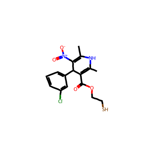 CC1=C(C(=O)OCCS)C(c2cccc(Cl)c2)C([N+](=O)[O-])=C(C)N1